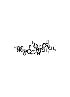 COc1cc(C(C)(C)c2cnc(SCc3c(F)cc(C(=O)NCS(=O)(=O)O)cc3F)n2-c2ccc(F)cc2)ccc1Cl